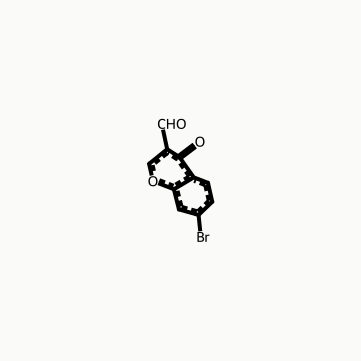 O=Cc1coc2cc(Br)ccc2c1=O